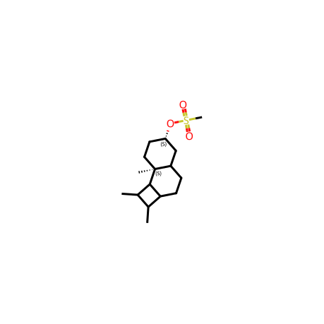 CC1C(C)C2C1CCC1C[C@@H](OS(C)(=O)=O)CC[C@@]12C